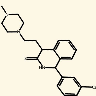 CN1CCN(CCC2C(=S)NC(c3cccc(Cl)c3)c3ccccc32)CC1